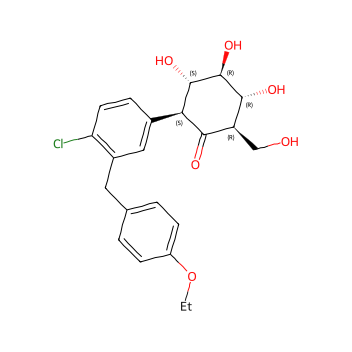 CCOc1ccc(Cc2cc([C@@H]3C(=O)[C@H](CO)[C@@H](O)[C@H](O)[C@H]3O)ccc2Cl)cc1